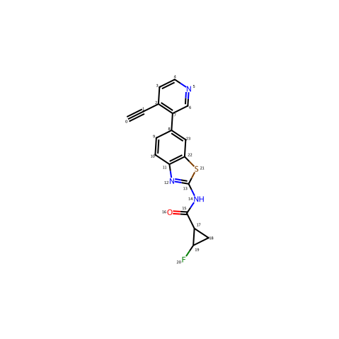 C#Cc1ccncc1-c1ccc2nc(NC(=O)C3CC3F)sc2c1